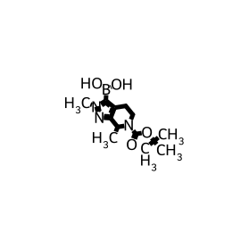 CC1c2nn(C)c(B(O)O)c2CCN1C(=O)OC(C)(C)C